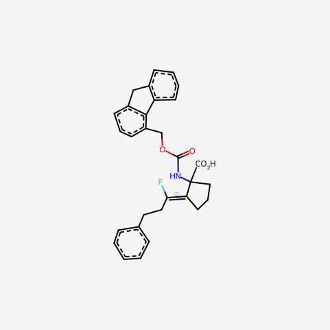 O=C(NC1(C(=O)O)CCC/C1=C(/F)CCc1ccccc1)OCc1cccc2c1-c1ccccc1C2